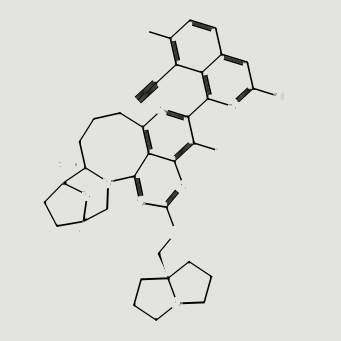 C#Cc1c(F)ccc2cc(N)nc(-c3nc4c5c(nc(OC[C@@]67CCCN6C[C@H](F)C7)nc5c3F)N3C[C@H]5CC[C@H](N5)[C@H]3CCC4)c12